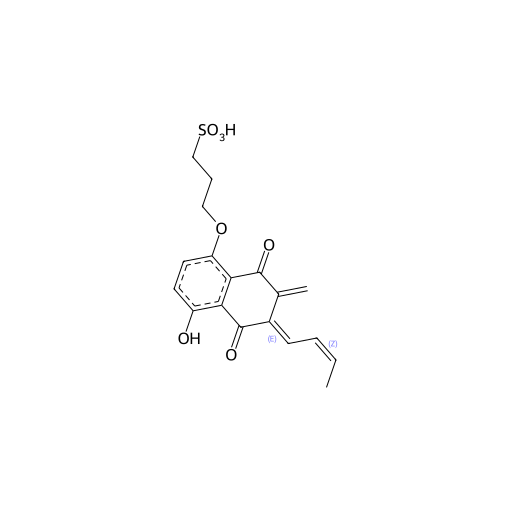 C=C1C(=O)c2c(OCCCS(=O)(=O)O)ccc(O)c2C(=O)/C1=C/C=C\C